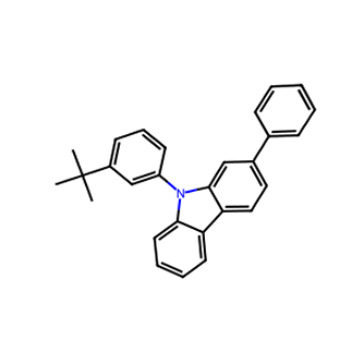 CC(C)(C)c1cccc(-n2c3ccccc3c3ccc(-c4ccccc4)cc32)c1